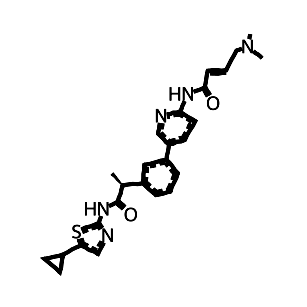 C[C@H](C(=O)Nc1ncc(C2CC2)s1)c1cccc(-c2ccc(NC(=O)/C=C/CN(C)C)nc2)c1